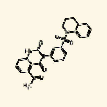 CC(=O)c1cccc2[nH]c(=O)n(-c3cccc(S(=O)(=O)N4CCCc5ccccc54)c3)c(=O)c12